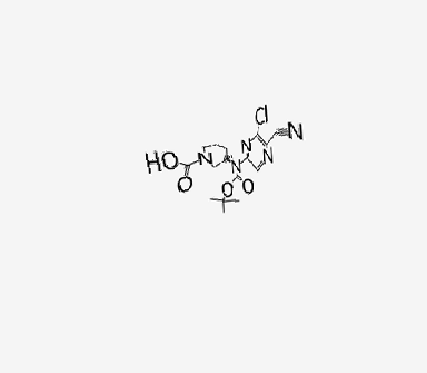 CC(C)(C)OC(=O)N(c1cnc(C#N)c(Cl)n1)[C@@H]1CCCN(C(=O)O)C1